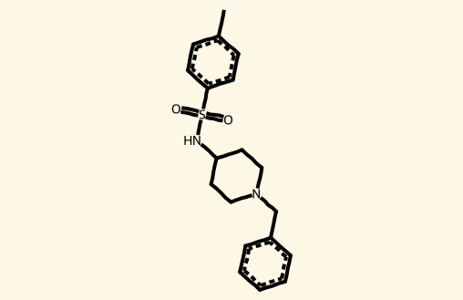 Cc1ccc(S(=O)(=O)NC2CCN(Cc3ccccc3)CC2)cc1